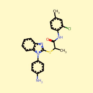 Cc1ccc(NC(=O)C(C)Sc2nc3ccccc3n2-c2ccc(N)cc2)c(Cl)c1